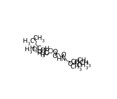 CC(C)CCCC(C)C1CC[C@H]2[C@@H]3CC=C4C[C@@H](OC(=O)CCC(=O)NCCCOC(C)(C)COC(C)(C)C)CC[C@]4(C)[C@H]3CC[C@]12C